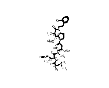 CC[C@H](C)[C@@H]([C@@H](CC(=O)N1CCC[C@H]1[C@H](OC)[C@@H](C)C(=O)NCCc1ccccc1Cl)OC)N(C)C(=O)[C@@H](NC(=O)[C@H](C(C)C)N(C)C)[C@H](C)N=[N+]=[N-]